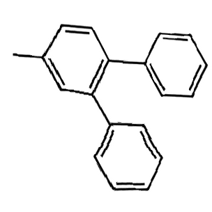 Cc1ccc(-c2ccccc2)c(-c2ccccc2)c1